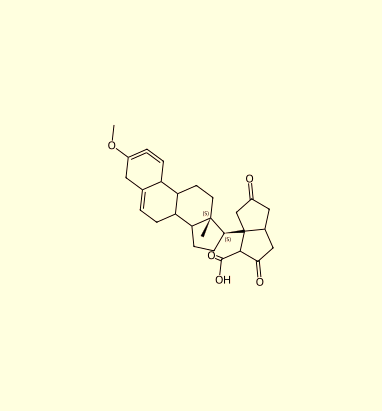 COC1=C=CC2C(=CCC3C2CC[C@@]2(C)C3CC[C@@H]2C23CC(=O)CC2CC(=O)C3C(=O)O)C1